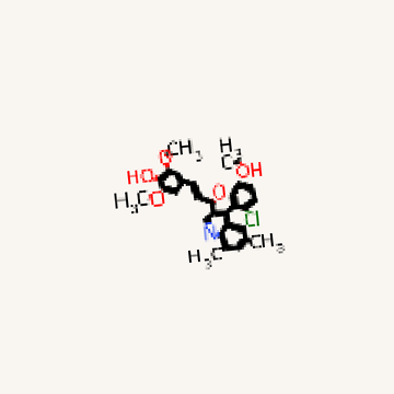 CCO.COc1cc(C=CC(=O)c2cnc3c(C)cc(C)cc3c2-c2ccccc2Cl)cc(OC)c1O